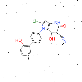 Cc1ccc(O)c(-c2ccc(-n3c(Cl)cc4[nH]c(=O)c(C#N)c(O)c43)cc2)c1